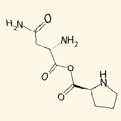 NC(=O)C[C@H](N)C(=O)OC(=O)[C@@H]1CCCN1